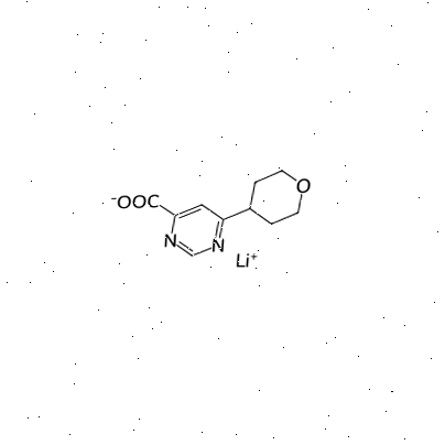 O=C([O-])c1cc(C2CCOCC2)ncn1.[Li+]